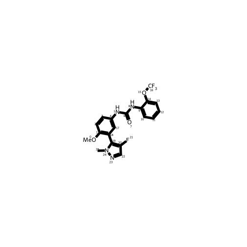 COc1ccc(NC(=O)Nc2ccccc2OC(F)(F)F)cc1-c1c(F)cnn1C